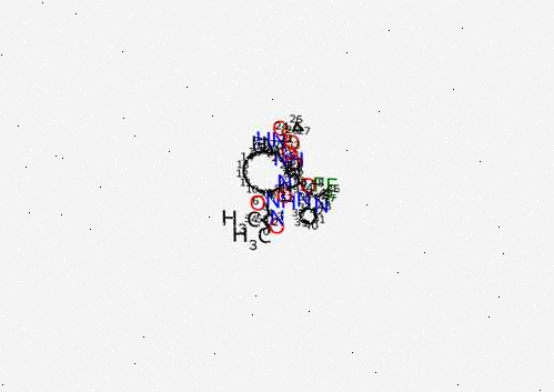 Cc1onc(C(=O)N[C@H]2CCCCCC=C[C@@H]3C[C@@]3(C(=O)NS(=O)(=O)C3CC3)NC(=O)[C@@H]3C[C@@H](Oc4nc5ccccc5nc4C(F)(F)F)CN3C2=O)c1C